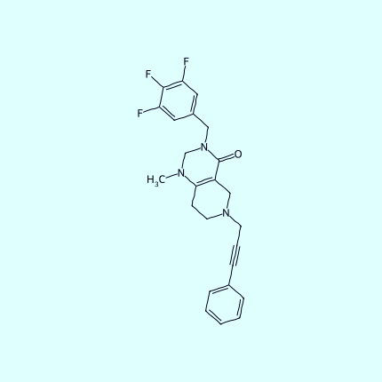 CN1CN(Cc2cc(F)c(F)c(F)c2)C(=O)C2=C1CCN(CC#Cc1ccccc1)C2